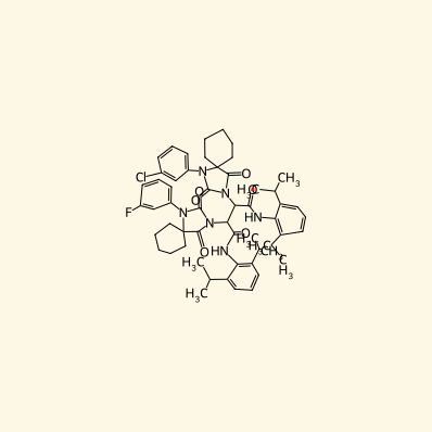 CC(C)c1cccc(C(C)C)c1NC(=O)C(C(C(=O)Nc1c(C(C)C)cccc1C(C)C)N1C(=O)N(c2cccc(Cl)c2)C2(CCCCC2)C1=O)N1C(=O)N(c2cccc(F)c2)C2(CCCCC2)C1=O